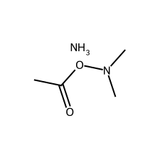 CC(=O)ON(C)C.N